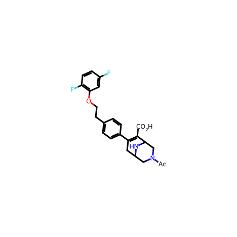 CC(=O)N1CC2CC(c3ccc(CCOc4cc(F)ccc4F)cc3)=C(C(=O)O)C(C1)N2